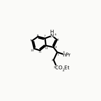 CCCC(CC(=O)OCC)c1c[nH]c2ccccc12